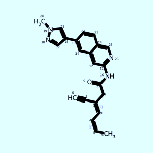 C#C/C(=C\C=C/C)CC(=O)Nc1cc2cc(-c3cnn(C)c3)ccc2cn1